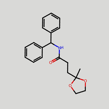 CC1(CCC(=O)NC(c2ccccc2)c2ccccc2)OCCO1